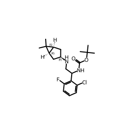 CC(C)(C)OC(=O)NC(CN[C@H]1C[C@@H]2[C@H](C1)C2(C)C)c1c(F)cccc1Cl